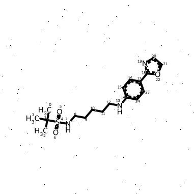 CC(C)(C)S(=O)(=O)NCCCCCNc1ccc(-c2ncco2)cc1